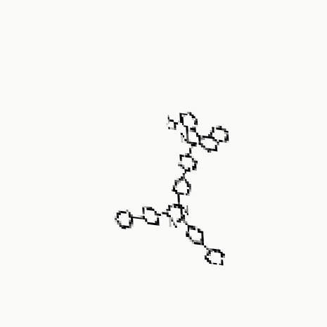 COc1cccc2c1nc(-c1ccc(-c3ccc(-c4cc(-c5ccc(-c6ccccc6)cc5)nc(-c5ccc(-c6ccccc6)cc5)n4)cc3)cc1)c1ccc3ccccc3c12